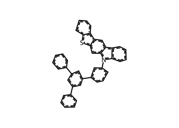 c1ccc(-c2cc(-c3ccccc3)cc(-c3cccc(-n4c5ccccc5c5cc6c(cc54)sc4ccccc46)c3)c2)cc1